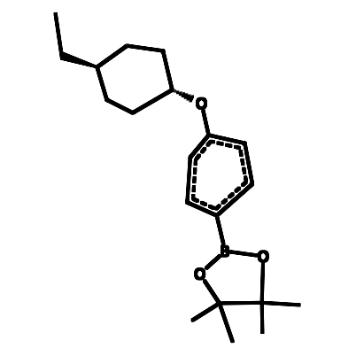 CC[C@H]1CC[C@H](Oc2ccc(B3OC(C)(C)C(C)(C)O3)cc2)CC1